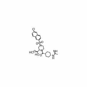 CC(=N)N[C@H]1CC[C@H](C(=O)N2CCN(S(=O)(=O)c3ccc4cc(Cl)ccc4c3)CC2C(=O)O)CC1.Cl